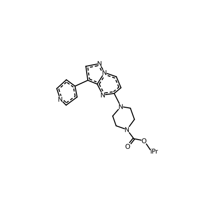 CC(C)OC(=O)N1CCN(c2ccn3ncc(-c4ccncc4)c3n2)CC1